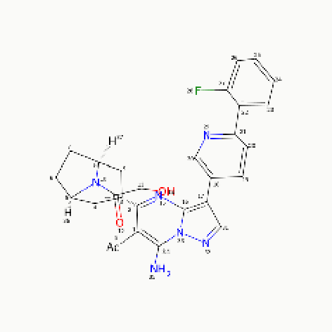 CC(=O)c1c([C@@H]2C[C@H]3CC[C@@H](C2)N3C(=O)CO)nc2c(-c3ccc(-c4ccccc4F)nc3)cnn2c1N